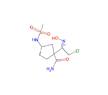 CS(=O)(=O)NC1CCC(C(N)=O)(/C(CCl)=N\O)C1